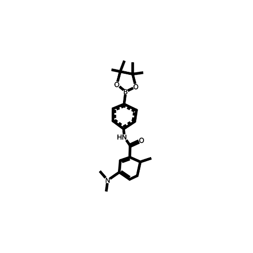 CC1CC=C(N(C)C)C=C1C(=O)Nc1ccc(B2OC(C)(C)C(C)(C)O2)cc1